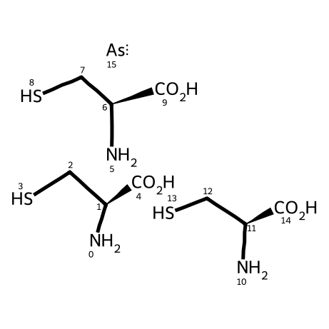 N[C@@H](CS)C(=O)O.N[C@@H](CS)C(=O)O.N[C@@H](CS)C(=O)O.[As]